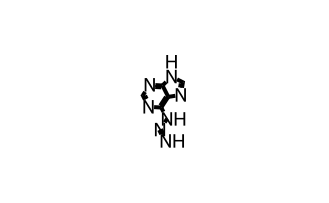 N=NNc1ncnc2[nH]cnc12